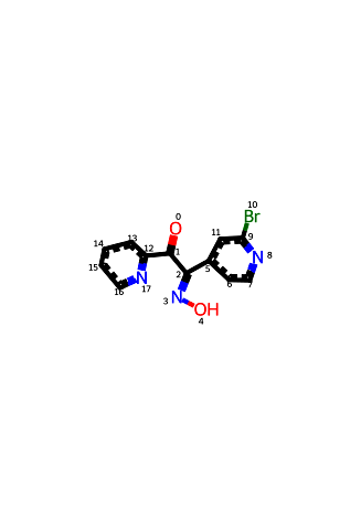 O=C(/C(=N/O)c1ccnc(Br)c1)c1ccccn1